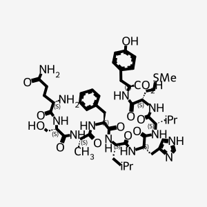 CSCC[C@H](NC(=O)[C@@H](NC(=O)[C@H](Cc1c[nH]cn1)NC(=O)[C@H](CC(C)C)NC(=O)[C@H](Cc1ccccc1)NC(=O)[C@H](C)NC(=O)[C@H](CO)NC(=O)[C@@H](N)CCC(N)=O)C(C)C)C(=O)N[C@@H](Cc1ccc(O)cc1)C(=O)O